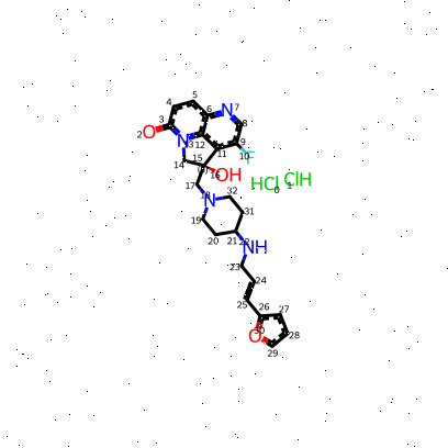 Cl.Cl.O=c1ccc2ncc(F)c3c2n1C[C@@]3(O)CN1CCC(NCC=Cc2ccco2)CC1